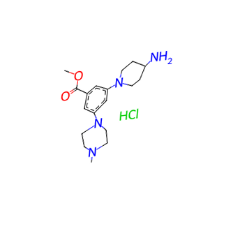 COC(=O)c1cc(N2CCC(N)CC2)cc(N2CCN(C)CC2)c1.Cl